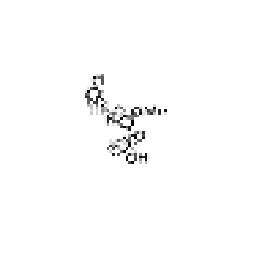 COc1cc(C(=O)N2CC(C)(C)OCC2(C)CO)cc2nc(NCc3cc(Cl)ccn3)oc12